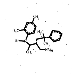 CCN(c1ccc(C)cc1C)C(C)C(CNC)CC(C)(C)c1ccccc1